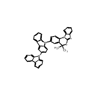 CC1(C)Sc2nc3ccccc3n2-c2ccc(-n3c4ccccc4c4cc(-n5c6ccccc6c6ccccc65)ccc43)cc21